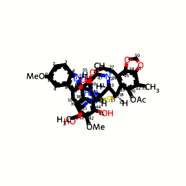 COc1ccc2[nH]c3c(c2c1)C[C@@H](CO)N[C@]31CS[C@@H]2c3c(OC(C)=O)c(C)c4c(c3C(COC1=O)N1[C@@H]2[C@@H]2N[C@@H](Cc3cc(C)c(OC)c(O)c32)[C@@H]1C)OCO4